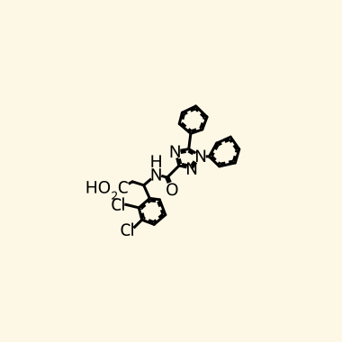 O=C(O)CC(NC(=O)c1nc(-c2ccccc2)n(-c2ccccc2)n1)c1cccc(Cl)c1Cl